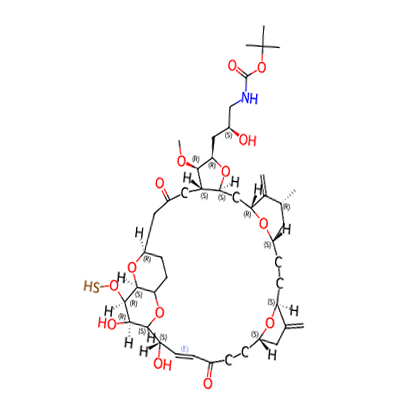 C=C1C[C@@H]2CCC(=O)/C=C/[C@H](O)[C@@H]3OC4CC[C@H](CC(=O)C[C@@H]5[C@@H](OC)[C@@H](C[C@H](O)CNC(=O)OC(C)(C)C)O[C@H]5C[C@H]5O[C@@H](CC[C@@H]1O2)C[C@@H](C)C5=C)O[C@@H]4[C@H](OS)[C@@H]3O